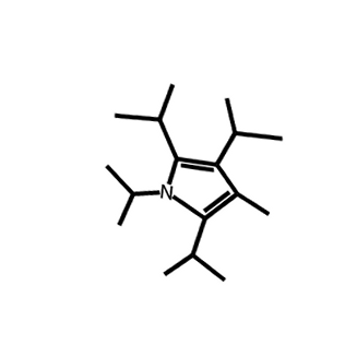 Cc1c(C(C)C)c(C(C)C)n(C(C)C)c1C(C)C